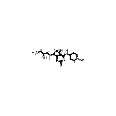 CC(=O)N1CCC(Nc2nc(C)nc3c(NCC(O)CN)n[nH]c23)CC1